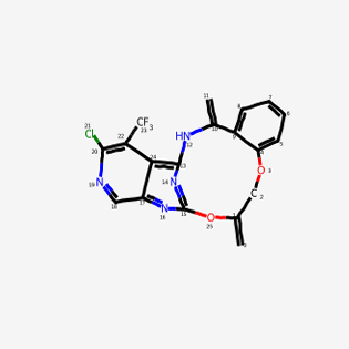 C=C1COc2ccccc2C(=C)Nc2nc(nc3cnc(Cl)c(C(F)(F)F)c23)O1